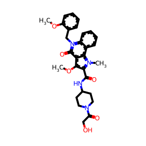 COc1ccccc1Cn1c(=O)c2c(OC)c(C(=O)NC3CCN(C(=O)CO)CC3)n(C)c2c2ccccc21